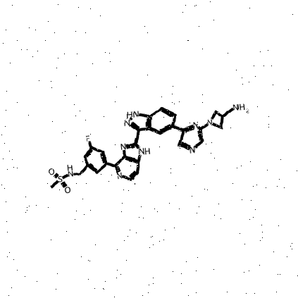 CS(=O)(=O)NCc1cc(F)cc(-c2nccc3[nH]c(-c4n[nH]c5ccc(-c6cncc(N7CC(N)C7)n6)cc45)nc23)c1